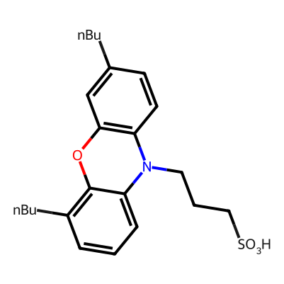 CCCCc1ccc2c(c1)Oc1c(CCCC)cccc1N2CCCS(=O)(=O)O